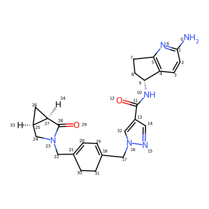 Nc1ccc2c(n1)CC[C@H]2NC(=O)c1cnn(CC2=CC=C(CN3C[C@H]4C[C@H]4C3=O)CC2)c1